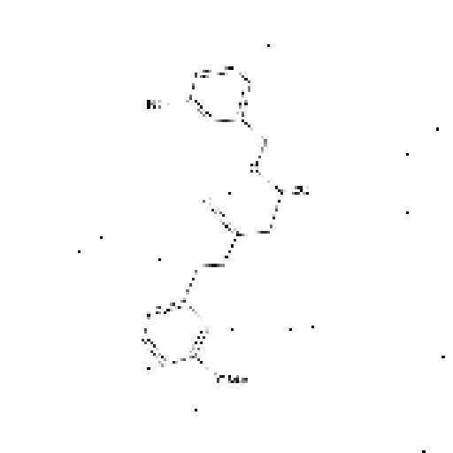 COc1cccc(CCC(=O)CC(=O)OCc2cccc(C#N)c2)c1